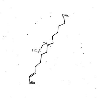 CC(=O)O.CCCCC=CCCCCCCCCCCOC(C)=O